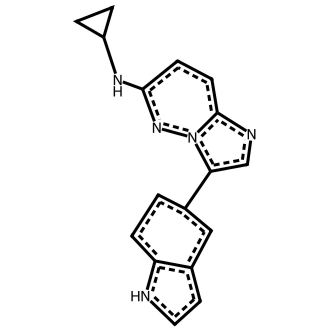 c1cc2cc(-c3cnc4ccc(NC5CC5)nn34)ccc2[nH]1